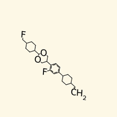 C=CC1CCC(c2ccc(C3COC(C4CCC(CF)CC4)OC3)c(F)c2)CC1